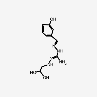 NC(=NNCC(O)O)NN=Cc1cccc(O)c1